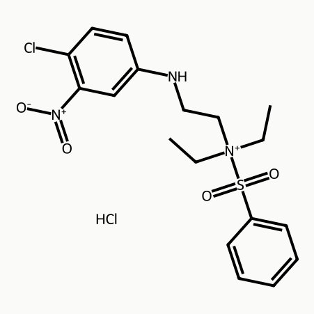 CC[N+](CC)(CCNc1ccc(Cl)c([N+](=O)[O-])c1)S(=O)(=O)c1ccccc1.Cl